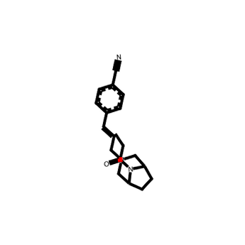 CCC(=O)N1C2CCC1CN(CC=Cc1ccc(C#N)cc1)C2